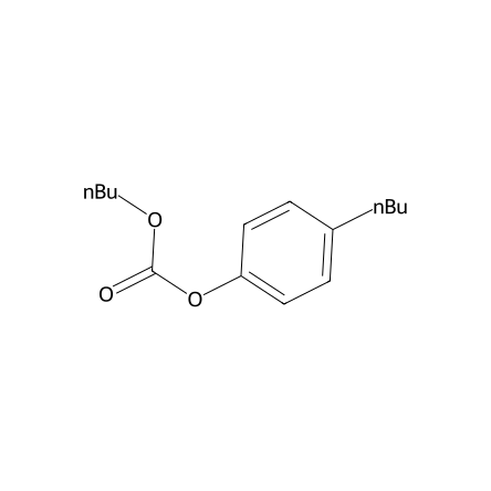 CCCCOC(=O)Oc1ccc(CCCC)cc1